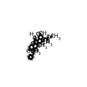 CCOC(=O)CC(C)[C@]12CCC(C)(C)CC1C1C(=O)C=C3[C@@]4(C)CCC(=O)[C@@H](C)C4(C(=O)OCc4ccccc4)CC[C@@]3(C)[C@]1(C)CC2